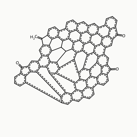 C=C1c2cc3c4cc5c(=O)c6cccc7c8cc9cc%10ccc%11c%12ccc%13c(=O)c%14cc%15c%16cc%17c(=O)c%18cccc%19c%20cc%21cc%22ccc%23c%24ccc1c1c%24c%24c%25c%26c%27c%28c%29c%30c%31c(c3c(c2-1)C%24C%31%27)c1c4c(c5c67)c8c2c9c3c%10c%11c4c5c%12c%13c%14c6c%15c7c8c%16c(c%17c%18%19)c%20c9c%21c(c%22c%23%25)c%26c(c%28c7c(c%29c4c3c%30c12)c65)c98